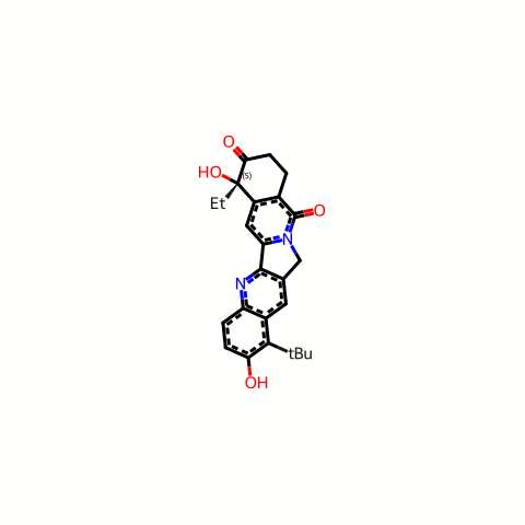 CC[C@@]1(O)C(=O)CCc2c1cc1n(c2=O)Cc2cc3c(C(C)(C)C)c(O)ccc3nc2-1